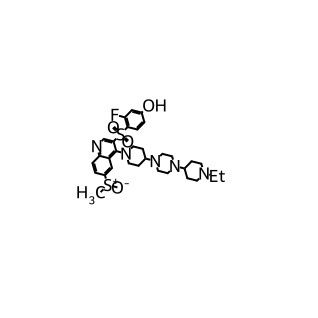 CCN1CCC(N2CCN(C3CCN(c4c(S(=O)(=O)c5ccc(O)cc5F)cnc5ccc([S+](C)[O-])cc45)CC3)CC2)CC1